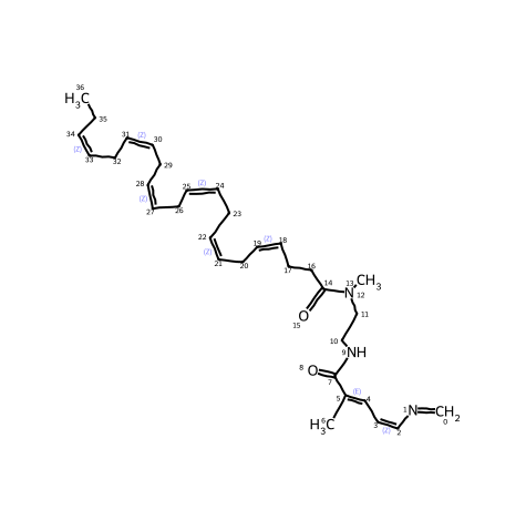 C=N/C=C\C=C(/C)C(=O)NCCN(C)C(=O)CC/C=C\C/C=C\C/C=C\C/C=C\C/C=C\C/C=C\CC